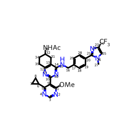 COc1ncnc(C2CC2)c1-c1nc2c(c(NCc3ccc(-c4nc(C(F)(F)F)cn4C)cc3)n1)CC(NC(C)=O)CC2